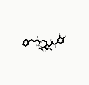 C[C@@H](CCc1ccccc1)[C@H]1CCc2c(cn(C)c2C(=O)Nc2ccc(F)c(F)c2)S(=N)(=O)N1